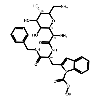 CC(C)(C)OC(=O)n1c(C[C@H](NC(=O)[C@H](N)[C@@H]2OC(CN)[C@@H](O)C(O)C2O)C(=O)NCc2ccccc2)cc2ccccc21